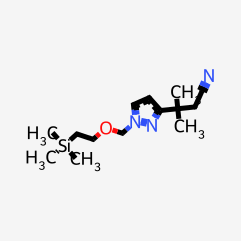 CC(C)(CC#N)c1ccn(COCC[Si](C)(C)C)n1